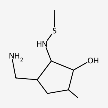 CSNC1C(CN)CC(C)C1O